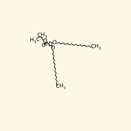 CCCCCCCCCCCCCCCCCCOC1CN(C(=O)OCCC(C)C)CC1OCCCCCCCCCCCCCCCCCC